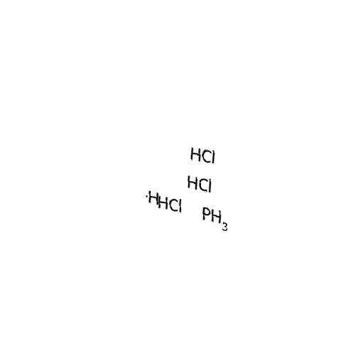 Cl.Cl.Cl.P.[H]